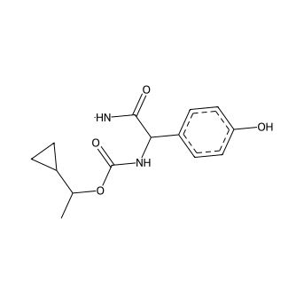 CC(OC(=O)NC(C([NH])=O)c1ccc(O)cc1)C1CC1